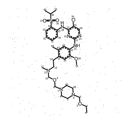 CCOCN1CCN(COCN(C)CCc2cc(OC)c(Nc3ncc(Cl)c(Nc4ccccc4S(=O)(=O)C(C)C)n3)cc2C)CC1